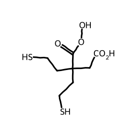 O=C(O)CC(CCS)(CCS)C(=O)OO